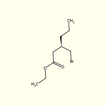 CCC[C@@H](CBr)CC(=O)OCC